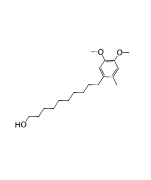 COc1cc(C)c(CCCCCCCCCCO)cc1OC